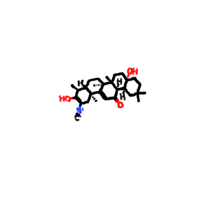 [C-]#[N+]C1=C(O)[C@@H](C)[C@@H]2CC[C@]3(C)C(=CC(=O)[C@@H]4[C@@H]5CC(C)(C)CC[C@]5(O)CC[C@]43C)[C@@]2(C)C1